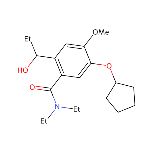 CCC(O)c1cc(OC)c(OC2CCCC2)cc1C(=O)N(CC)CC